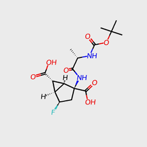 C[C@H](NC(=O)OC(C)(C)C)C(=O)N[C@@]1(C(=O)O)C[C@@H](F)[C@H]2[C@H](C(=O)O)[C@H]21